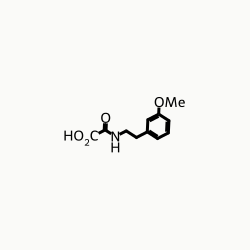 COc1cccc(CCNC(=O)C(=O)O)c1